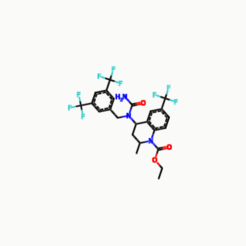 CCOC(=O)N1c2ccc(C(F)(F)F)cc2C(N(Cc2cc(C(F)(F)F)cc(C(F)(F)F)c2)C(N)=O)CC1C